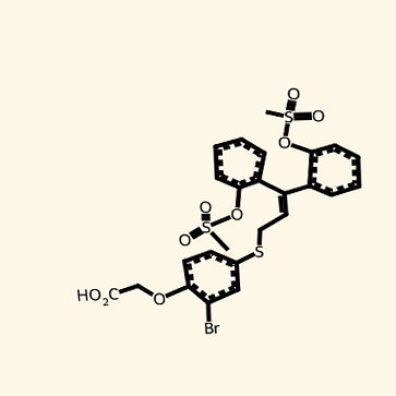 CS(=O)(=O)Oc1ccccc1C(=CCSc1ccc(OCC(=O)O)c(Br)c1)c1ccccc1OS(C)(=O)=O